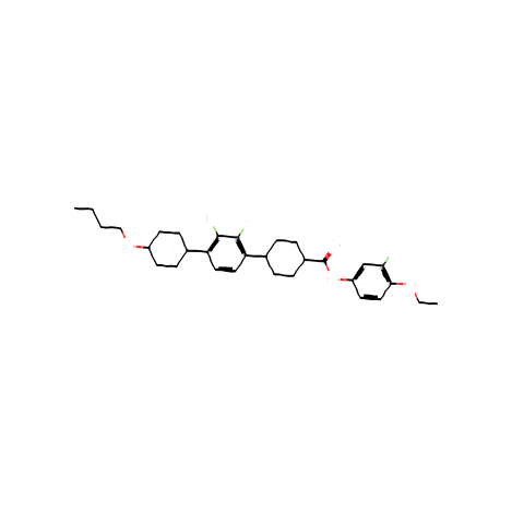 CCCCOC1CCC(c2ccc(C3CCC(C(=O)Oc4ccc(OCC)c(F)c4)CC3)c(F)c2F)CC1